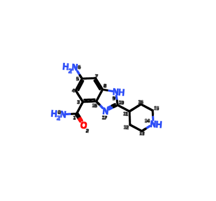 NC(=O)c1cc(N)cc2[nH]c(C3CCNCC3)nc12